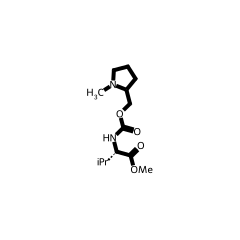 COC(=O)[C@@H](NC(=O)OCC1CCCN1C)C(C)C